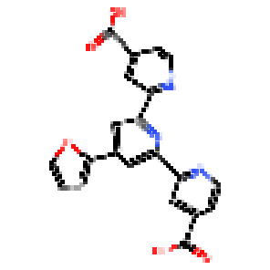 O=C(O)c1ccnc(-c2cc(-c3ccco3)cc(-c3cc(C(=O)O)ccn3)n2)c1